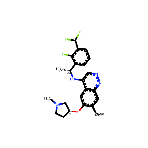 COc1cc2nncc(N[C@H](C)c3cccc(C(F)F)c3F)c2cc1O[C@H]1CCN(C)C1